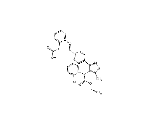 CCOC(=O)N(c1ccccc1Cl)c1c(-c2ccc(COc3ccccc3CC(=O)O)cc2)noc1C